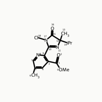 COC(=O)c1cc(C)cnc1C1=NC(C)(C(C)C)C(=O)N1Cl